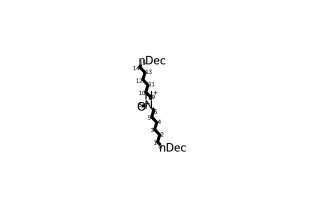 CCCCCCCCCCCCCCCC[NH+]([O-])CCCCCCCCCCCCCCCC